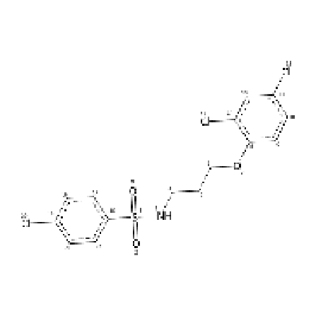 O=S(=O)(NCCCOc1ccc(Cl)cc1Cl)c1ccc(Cl)cc1